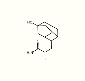 CC(CC1C2CC3CC1CC(O)(C3)C2)C(N)=O